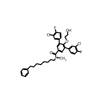 CN(CCCCCCCCc1ccccc1)C(=O)c1cc(-c2ccc(F)c(Cl)c2)c(OCCO)c(-c2ccc(F)c(Cl)c2)c1